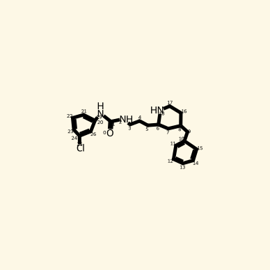 O=C(NCCCC1CC(Cc2ccccc2)CCN1)Nc1cccc(Cl)c1